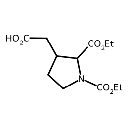 CCOC(=O)C1C(CC(=O)O)CCN1C(=O)OCC